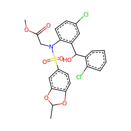 COC(=O)CN(c1ccc(Cl)cc1C(O)c1ccccc1Cl)S(=O)(=O)c1ccc2c(c1)OC(C)O2